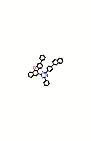 c1ccc(-c2ccc3c(c2)oc2c4ccccc4cc(-c4nc(-c5ccccc5)nc(-c5ccc(-c6ccc7ccccc7c6)cc5)n4)c32)cc1